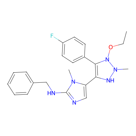 CCON1C(c2ccc(F)cc2)=C(c2cnc(NCc3ccccc3)n2C)NN1C